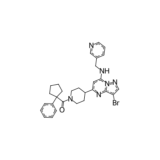 O=C(N1CCC(c2cc(NCc3cccnc3)n3ncc(Br)c3n2)CC1)C1(c2ccccc2)CCCC1